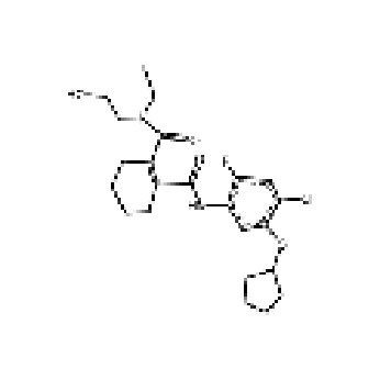 CCN(CCO)C(=O)C1=C(C(=O)Nc2cc(OC3CCCC3)c(Cl)cc2F)CCCC1